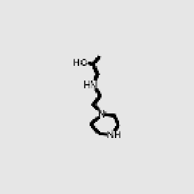 CC(O)CNCCN1CCNCC1